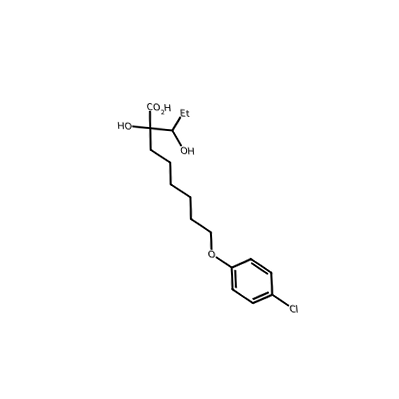 CCC(O)C(O)(CCCCCCOc1ccc(Cl)cc1)C(=O)O